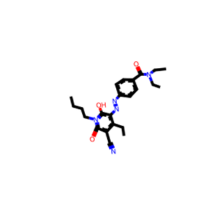 CCCCn1c(O)c(/N=N/c2ccc(C(=O)N(CC)CC)cc2)c(CC)c(C#N)c1=O